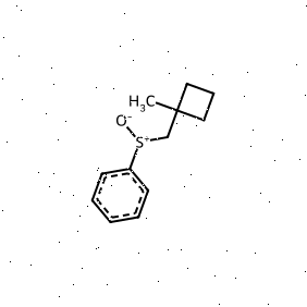 CC1(C[S+]([O-])c2ccccc2)CCC1